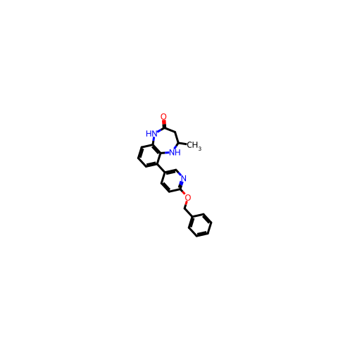 CC1CC(=O)Nc2cccc(-c3ccc(OCc4ccccc4)nc3)c2N1